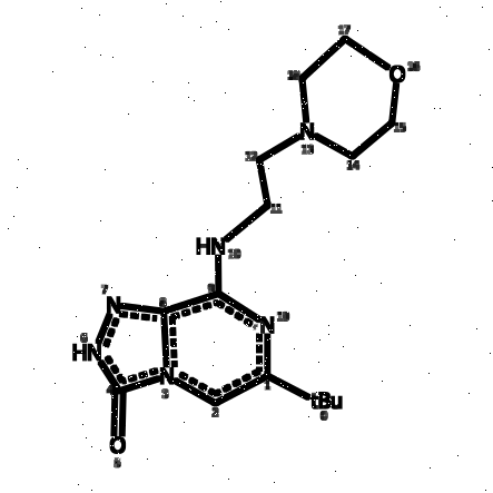 CC(C)(C)c1cn2c(=O)[nH]nc2c(NCCN2CCOCC2)n1